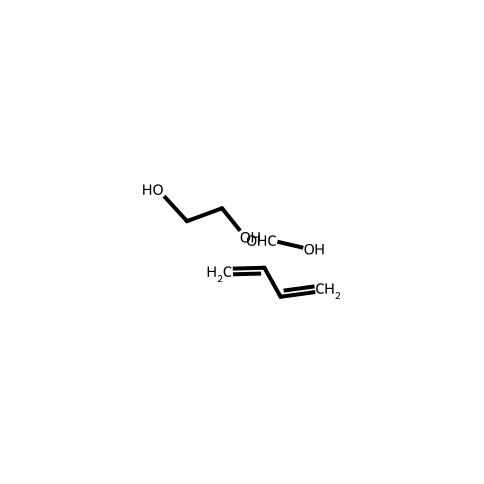 C=CC=C.O=CO.OCCO